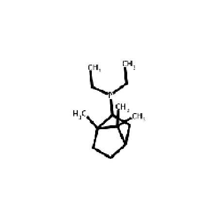 CCP(CC)C1CC2CCC1(C)C2(C)C